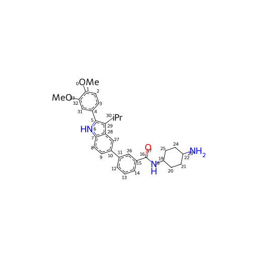 COc1ccc(-c2[nH]c3ccc(-c4cccc(C(=O)NC5CCC(N)CC5)c4)cc3c2C(C)C)cc1OC